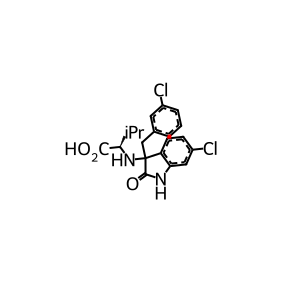 CC(C)[C@@H](NC1(Cc2cccc(Cl)c2)C(=O)Nc2cc(Cl)ccc21)C(=O)O